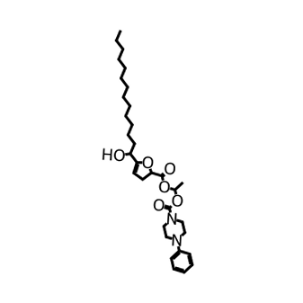 CCCCCCCCCCCCCC(O)C1=CCC(C(=O)OC(C)OC(=O)N2CCN(c3ccccc3)CC2)O1